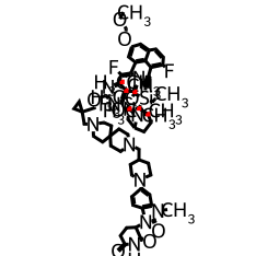 COCOc1cc(-c2ncc3c(N4CC5CCC(C4)N5C(=O)OC(C)(C)C)nc(OCC4(CN5CCC6(CCN(CC7CCN(c8ccc9c(c8)n(C)c(=O)n9C8CCC(=O)NC8=O)CC7)CC6)CC5)CC4)nc3c2F)c2c(C#C[Si](C(C)C)(C(C)C)C(C)C)c(F)ccc2c1